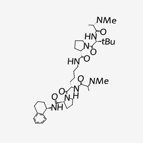 CN[C@@H](C)C(=O)N[C@@H](CCCCNC(=O)[C@@H]1CCCN1C(=O)[C@@H](NC(=O)[C@H](C)NC)C(C)(C)C)C(=O)N1CCC[C@H]1C(=O)N[C@@H]1CCCc2ccccc21